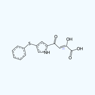 O=C(O)/C(O)=C/C(=O)c1cc(Sc2ccccc2)c[nH]1